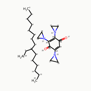 CCCCCCCCC([CH2][AlH2])CCCCCC.O=C1C=C(N2CC2)C(=O)C(N2CC2)=C1N1CC1